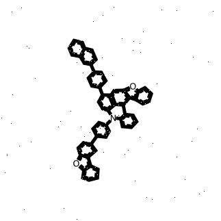 c1ccc(N(c2ccc(-c3ccc(-c4ccc5ccccc5c4)cc3)cc2)c2ccc(-c3ccc4oc5ccccc5c4c3)cc2)c(-c2cccc3oc4ccccc4c23)c1